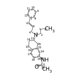 CCCN(CC=Cc1ccccc1)C1CCc2ccc(NC(C)=O)cc2C1